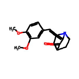 COc1ccc(/C=C2\C(=O)C3CCN2CC3)cc1OC